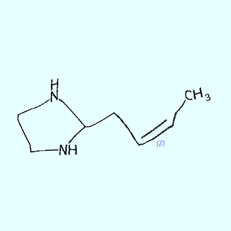 C/C=C\CC1NCCN1